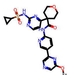 CCOc1cncc(-c2ccc(NC(=O)C3(c4ccnc(NS(=O)(=O)C5CC5)n4)CCOCC3)nc2)n1